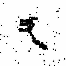 COc1ccc(/C=C\c2cc(OC)c(OC)c(OC)c2)cc1OCCCCCOc1ccc(-c2nc3ccccc3s2)cc1